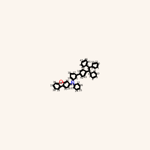 c1ccc(C(=C(c2ccccc2)c2ccc(-c3cccc(N(c4ccccc4)c4ccc5c(c4)oc4ccccc45)c3)cc2)c2ccccc2)cc1